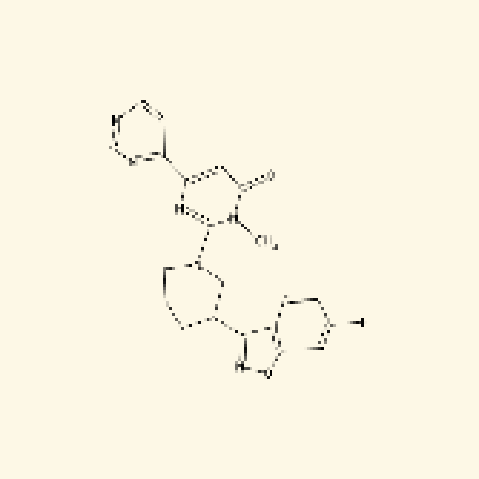 Cn1c(N2CCCC(c3noc4cc(F)ccc34)C2)nc(-c2ccncn2)cc1=O